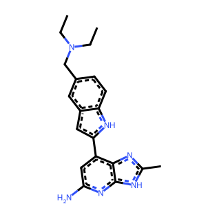 CCN(CC)Cc1ccc2[nH]c(-c3cc(N)nc4[nH]c(C)nc34)cc2c1